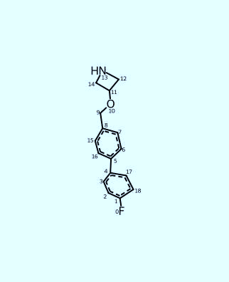 Fc1ccc(-c2ccc(COC3CNC3)cc2)cc1